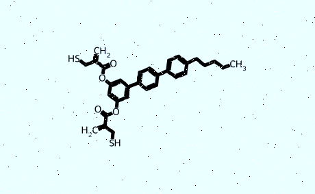 C=C(CS)C(=O)Oc1cc(OC(=O)C(=C)CS)cc(-c2ccc(-c3ccc(CCCCC)cc3)cc2)c1